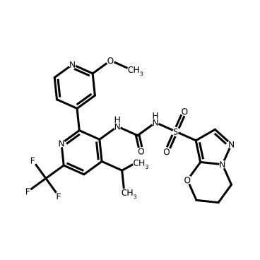 COc1cc(-c2nc(C(F)(F)F)cc(C(C)C)c2NC(=O)NS(=O)(=O)c2cnn3c2OCCC3)ccn1